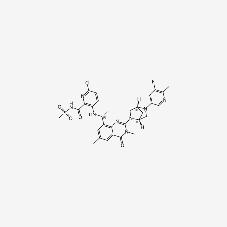 Cc1cc([C@@H](C)Nc2ccc(Cl)nc2C(=O)NS(C)(=O)=O)c2nc(N3C[C@H]4C[C@@H]3CN4c3cnc(C)c(F)c3)n(C)c(=O)c2c1